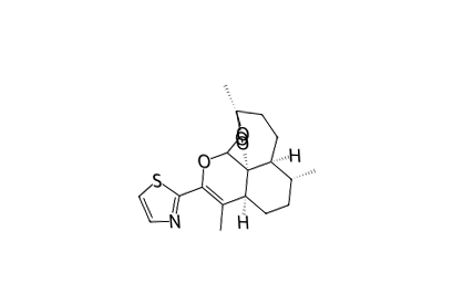 CC1=C(c2nccs2)OC2O[C@]3(C)CC[C@H]4[C@H](C)CC[C@@H]1[C@@]24OO3